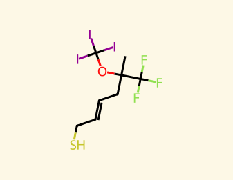 CC(C/C=C/CS)(OC(I)(I)I)C(F)(F)F